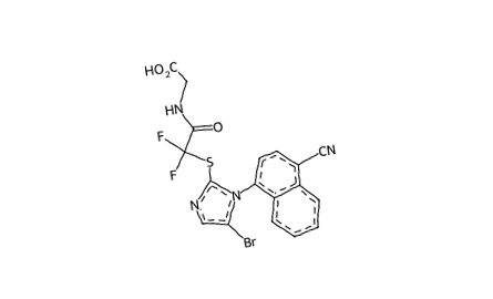 N#Cc1ccc(-n2c(Br)cnc2SC(F)(F)C(=O)NCC(=O)O)c2ccccc12